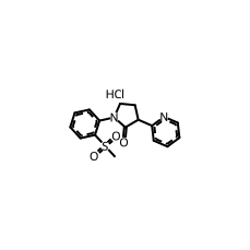 CS(=O)(=O)c1ccccc1N1CCC(c2ccccn2)C1=O.Cl